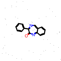 O=c1nc2ccccc2cnc1-c1ccccc1